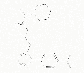 CN(C)c1ccc(-n2nnnc2CCCC(=O)N(C)C2CCCCC2)cc1